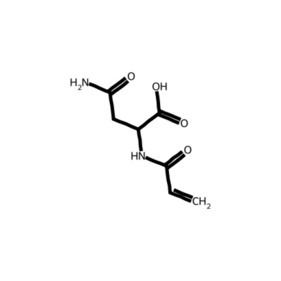 C=CC(=O)NC(CC(N)=O)C(=O)O